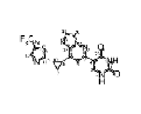 O=c1[nH]cc(-c2cc([C@H]3C[C@@H]3c3ncc(C(F)(F)F)s3)c3nccn3n2)c(=O)[nH]1